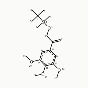 C=C(CO[Si](C)(C)C(C)(C)C)c1cc(OC)c(OC)c(OC)c1